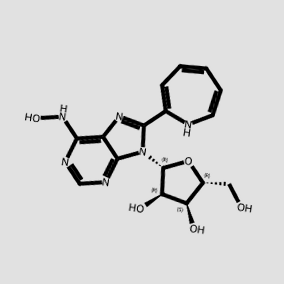 OC[C@H]1O[C@@H](n2c(C3=CC=CC=CN3)nc3c(NO)ncnc32)[C@H](O)[C@@H]1O